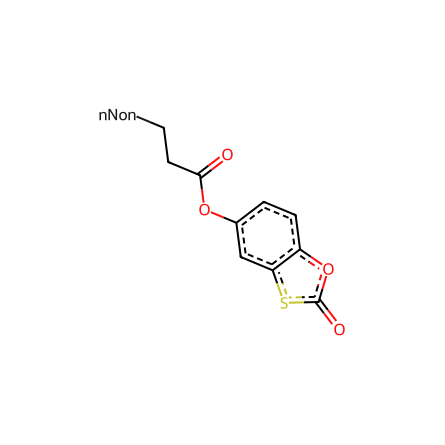 CCCCCCCCCCCC(=O)Oc1ccc2oc(=O)sc2c1